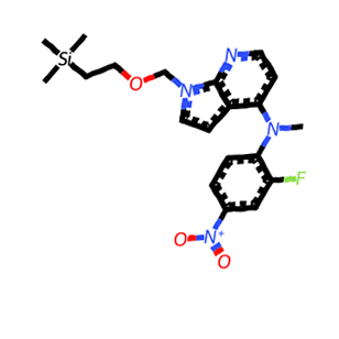 CN(c1ccc([N+](=O)[O-])cc1F)c1ccnc2c1ccn2COCC[Si](C)(C)C